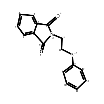 O=C1c2ccccc2C(=O)N1CCSc1ccccc1